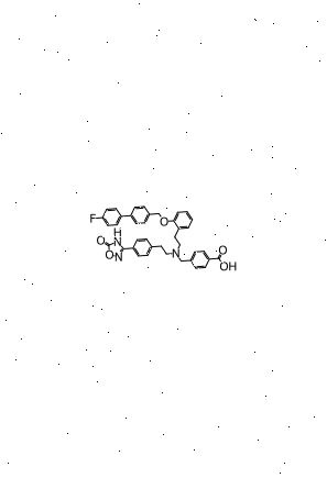 O=C(O)c1ccc(CN(CCc2ccc(-c3noc(=O)[nH]3)cc2)CCc2ccccc2OCc2ccc(-c3ccc(F)cc3)cc2)cc1